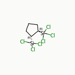 Cl[Si](Cl)(Cl)[C@@H]1CCC[C@H]1[Si](Cl)(Cl)Cl